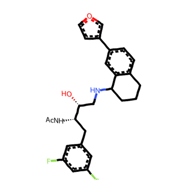 CC(=O)N[C@@H](Cc1cc(F)cc(F)c1)[C@H](O)CNC1CCCc2ccc(-c3ccoc3)cc21